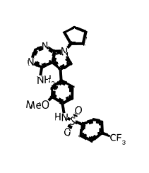 COc1cc(-c2cn(C3CCCC3)c3ncnc(N)c23)ccc1NS(=O)(=O)c1ccc(C(F)(F)F)cc1